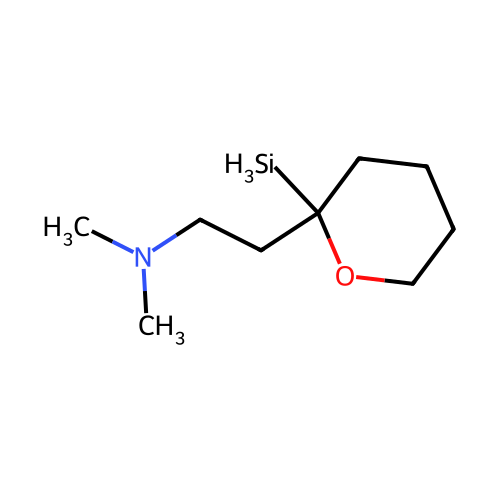 CN(C)CCC1([SiH3])CCCCO1